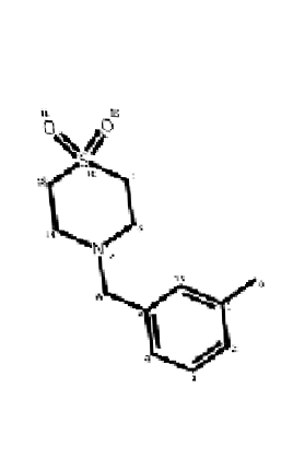 Cc1[c]ccc(CN2CCS(=O)(=O)CC2)c1